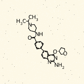 CC(C)N1CCC(NC(=O)c2ccc(-c3ccc4nc(N)nc(O[C@@H]5CCOC5)c4c3)cc2)CC1